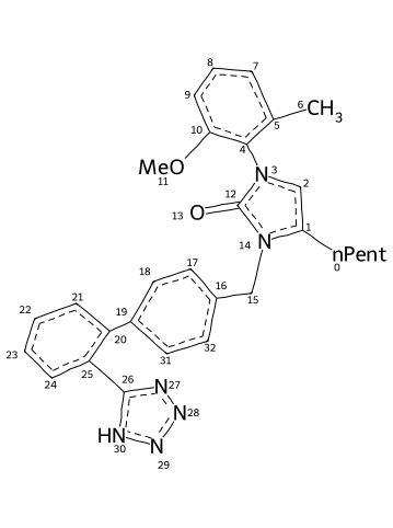 CCCCCc1cn(-c2c(C)cccc2OC)c(=O)n1Cc1ccc(-c2ccccc2-c2nnn[nH]2)cc1